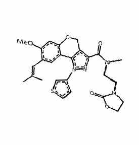 COc1cc2c(cc1C=C(C)C)-c1c(c(C(=O)N(C)CCN3CCOC3=O)nn1-c1ccsc1)CO2